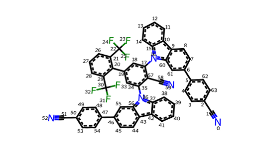 N#Cc1ccc(-c2ccc3c4ccccc4n(-c4cc(-c5c(C(F)(F)F)cccc5C(F)(F)F)cc(-n5c6ccccc6c6ccc(-c7ccc(C#N)cc7)cc65)c4C#N)c3c2)cc1